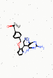 COC(=O)c1ccc(COc2ccccc2C(C[N+](=O)[O-])c2c(N)nc(N)nc2N)cc1